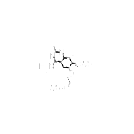 COCCOc1cc2c(N)nc(C)nc2cc1OC